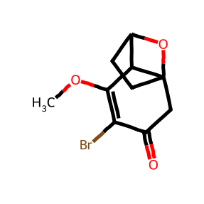 COC1=C(Br)C(=O)CC23CCC(O2)C13